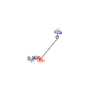 C[N+](C)(C)CCOP(=O)(O)OCCCCCCCCCCCCCCCCCCc1ccc(C2=C3C=CC=[N+]3[B-](F)(F)n3cccc32)cc1